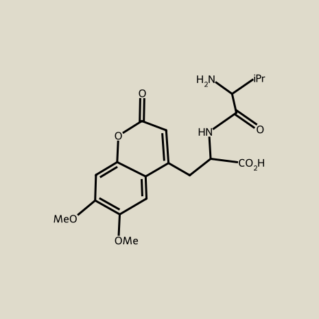 COc1cc2oc(=O)cc(CC(NC(=O)C(N)C(C)C)C(=O)O)c2cc1OC